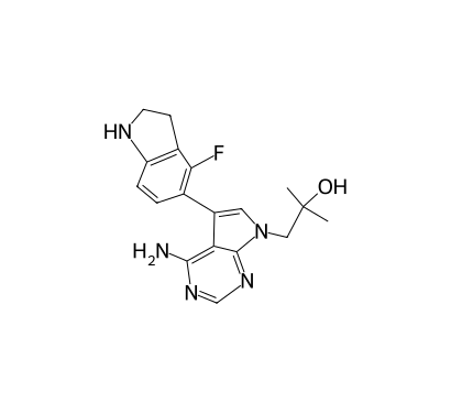 CC(C)(O)Cn1cc(-c2ccc3c(c2F)CCN3)c2c(N)ncnc21